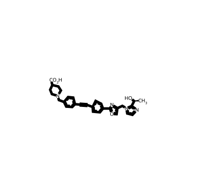 C[C@H](O)c1nccn1Cc1coc(-c2ccc(C#Cc3ccc(CN4CCC(C(=O)O)CC4)cc3)cc2)n1